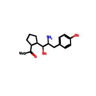 COC(=O)C1CCCC1C(O)C(N)Cc1ccc(O)cc1